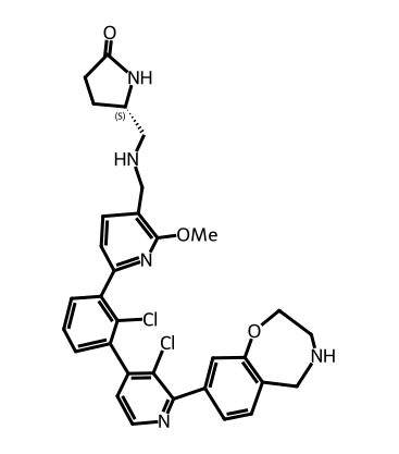 COc1nc(-c2cccc(-c3ccnc(-c4ccc5c(c4)OCCNC5)c3Cl)c2Cl)ccc1CNC[C@@H]1CCC(=O)N1